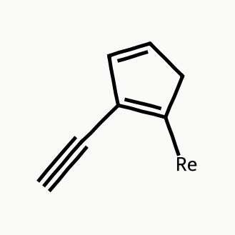 C#CC1=[C]([Re])CC=C1